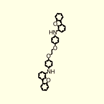 c1ccc2c(c1)oc1c(Nc3ccc(OCCOc4ccc(Nc5cccc6c5oc5ccccc56)cc4)cc3)cccc12